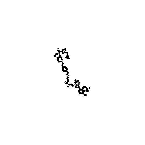 CN(CCNC[C@H](O[Si](C)(C)C(C)(C)C)c1ccc(O)c2[nH]c(=O)ccc12)C(=O)CCOCCc1ccc(CCN2CCC3(CC2)CN(C(=O)c2ccn(CC4CC4)n2)CCO3)cc1